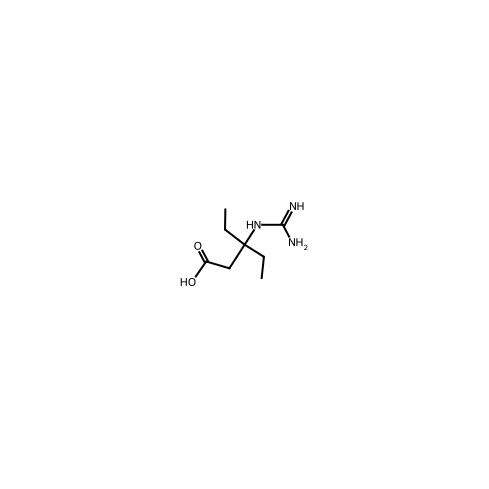 CCC(CC)(CC(=O)O)NC(=N)N